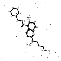 CNCCCN(C)c1ccc2c(C(=O)NCC3CCCCC3)c(Cl)ccc2n1